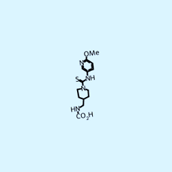 COc1ccc(NC(=S)N2CCC(CNC(=O)O)CC2)cn1